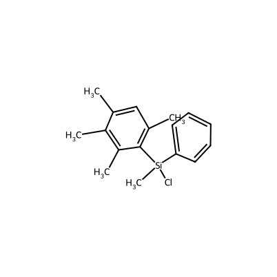 Cc1cc(C)c([Si](C)(Cl)c2ccccc2)c(C)c1C